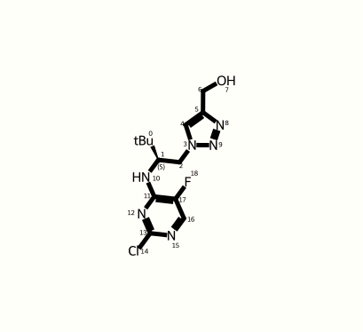 CC(C)(C)[C@@H](Cn1cc(CO)nn1)Nc1nc(Cl)ncc1F